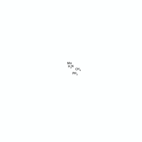 C.N.P.[Mo]